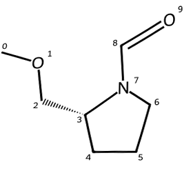 COC[C@H]1CCCN1C=O